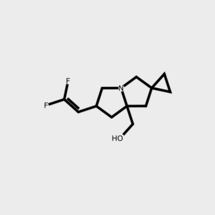 OCC12CC(C=C(F)F)CN1CC1(CC1)C2